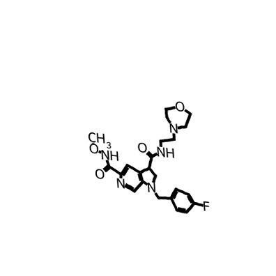 CONC(=O)c1cc2c(cn1)N(Cc1ccc(F)cc1)CC2C(=O)NCCN1CCOCC1